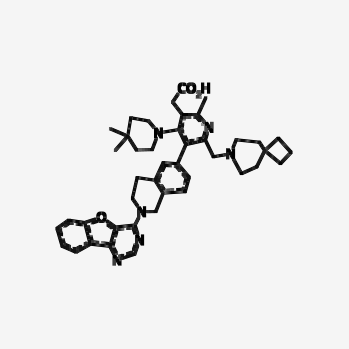 Cc1nc(CN2CCC3(CCC3)CC2)c(-c2ccc3c(c2)CCN(c2ncnc4c2oc2ccccc24)C3)c(N2CCC(C)(C)CC2)c1CC(=O)O